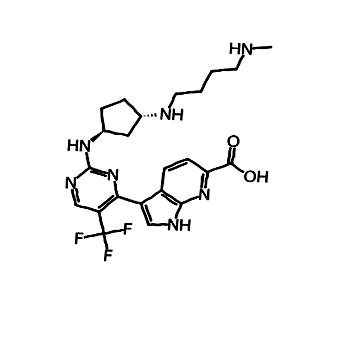 CNCCCCN[C@H]1CC[C@H](Nc2ncc(C(F)(F)F)c(-c3c[nH]c4nc(C(=O)O)ccc34)n2)C1